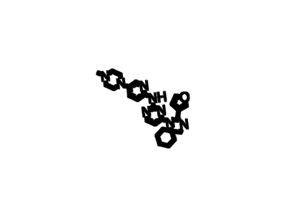 CN1CCN(c2ccc(Nc3nccc(N4C(c5ccoc5)=NCC45CCCCC5)n3)nc2)CC1